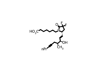 CCCC#CC[C@H](C)[C@H](O)/C=C/[C@H]1CC(F)(F)C(=O)N1CCCCCCC(=O)O